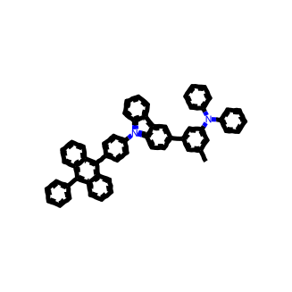 Cc1cc(-c2ccc3c(c2)c2ccccc2n3-c2ccc(-c3c4ccccc4c(-c4ccccc4)c4ccccc34)cc2)cc(N(c2ccccc2)c2ccccc2)c1